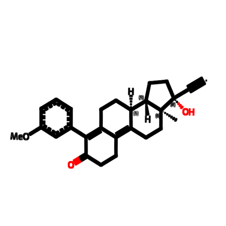 [C]#C[C@]1(O)CC[C@H]2[C@@H]3CCC4=C(c5cccc(OC)c5)C(=O)CCC4=C3CC[C@@]21C